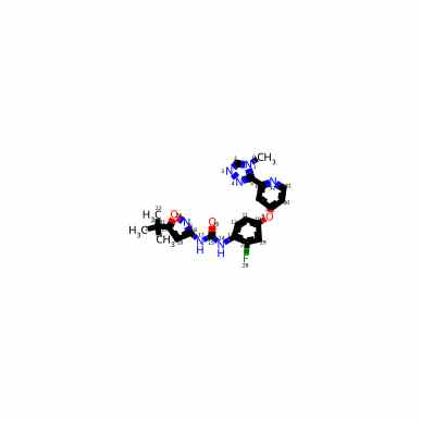 Cn1cnnc1-c1cc(Oc2ccc(NC(=O)Nc3cc(C(C)(C)C)on3)c(F)c2)ccn1